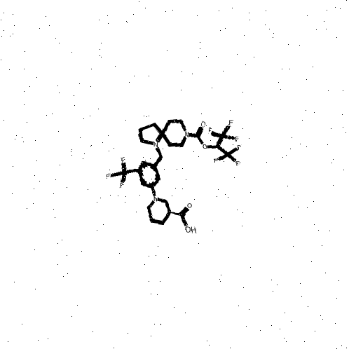 O=C(O)[C@H]1CCCN(c2cc(CN3CCCC34CCN(C(=O)OC(C(F)(F)F)C(F)(F)F)CC4)cc(C(F)(F)F)c2)C1